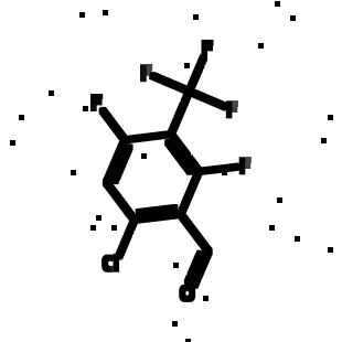 O=Cc1c(Cl)cc(F)c(C(F)(F)F)c1F